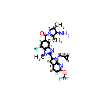 C[C@@H]1CN(C(=O)c2cc(F)c3c(c2)nc(-c2cc4ccc(OC(F)F)nc4n2CC2CC2)n3C)[C@H](C)[C@@H]1N